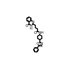 O=C(CCCc1nc2ccccc2c(=O)[nH]1)NC1CCC(c2nnc(-c3ccccc3)o2)CC1